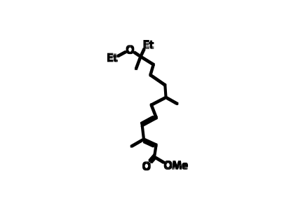 CCOC(C)(CC)CCCC(C)CC=CC(C)=CC(=O)OC